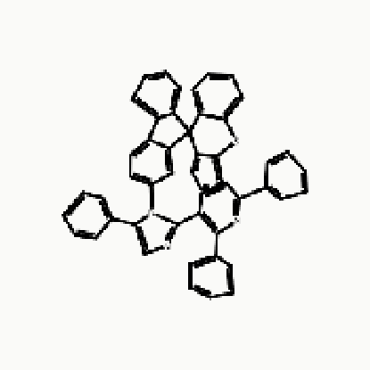 c1ccc(-c2ccc(-c3ncc(-c4ccccc4)n3-c3ccc4c(c3)C3(c5ccccc5Sc5ccccc53)c3ccccc3-4)c(-c3ccccc3)n2)cc1